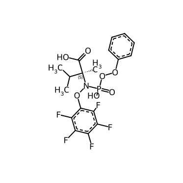 CC(C)[C@@](C)(C(=O)O)N(Oc1c(F)c(F)c(F)c(F)c1F)P(=O)(O)OOc1ccccc1